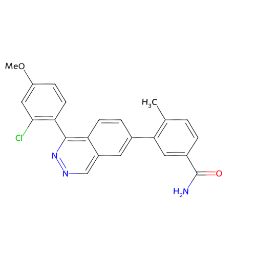 COc1ccc(-c2nncc3cc(-c4cc(C(N)=O)ccc4C)ccc23)c(Cl)c1